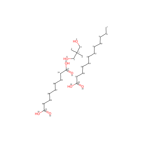 CC(C)(CO)CO.CCCCCCCCCCCC(=O)O.O=C(O)CCCCCCCC(=O)O